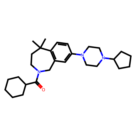 CC1(C)CCN(C(=O)C2CCCCC2)Cc2cc(N3CCN(C4CCCC4)CC3)ccc21